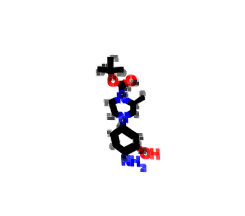 C[C@H]1CN(c2ccc(N)c(O)c2)CCN1C(=O)OC(C)(C)C